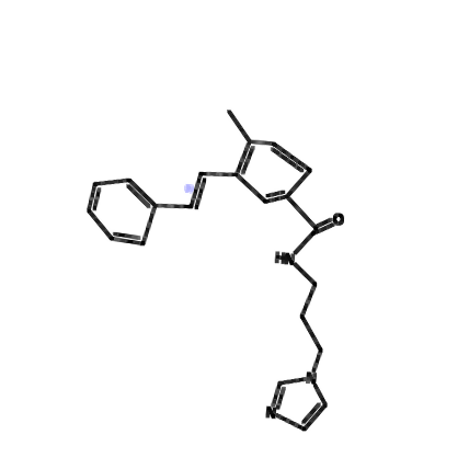 Cc1ccc(C(=O)NCCCn2ccnc2)cc1/C=C/c1ccccc1